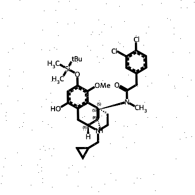 COc1c(O[Si](C)(C)C(C)(C)C)cc(O)c2c1[C@]13CCN(CC4CC4)[C@H](C2)[C@@H]1CC[C@H](N(C)C(=O)Cc1ccc(Cl)c(Cl)c1)C3